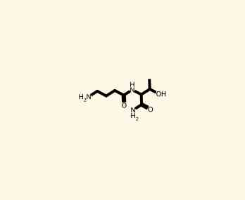 CC(O)C(NC(=O)CCCN)C(N)=O